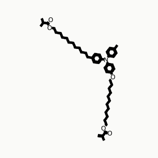 C=C(C)C(=O)OCCCCCCCCCCCCOc1ccc(N(c2ccc(C)cc2)c2ccc(CCCCCCCCCCCCOC(=O)C(C)C)cc2)cc1